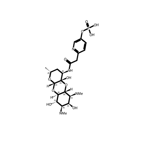 CN[C@@H]1[C@H](O)[C@H](NC)[C@H]2O[C@]3(O)[C@H](O[C@@H]2[C@H]1O)O[C@H](C)C[C@H]3NC(=O)Cc1ccc(OP(=O)(O)O)cn1